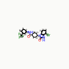 Cc1ccc(NC(=O)[C@H]2CC[C@@H](n3c(=O)[nH]c4c(Br)cccc43)CC2)cc1C(F)(F)F